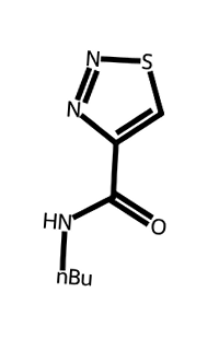 CCCCNC(=O)c1csnn1